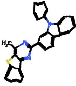 Cc1nc(-c2ccc3c4ccccc4n(-c4ccccc4)c3c2)nc2c1sc1ccccc12